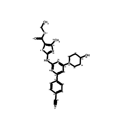 CCOC(=O)c1sc(Nc2nc(-c3ccc(C#N)cc3)cc(N3CCC(O)CC3)n2)nc1C